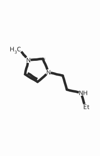 CCNCCN1[C]N(C)C=C1